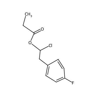 CCC(=O)OC(Cl)Cc1ccc(F)cc1